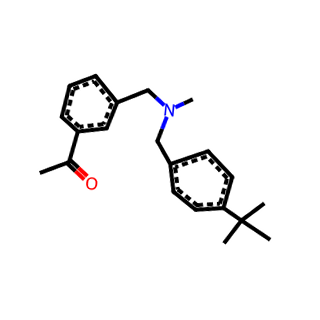 CC(=O)c1cccc(CN(C)Cc2ccc(C(C)(C)C)cc2)c1